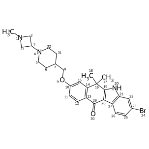 CN1CC(N2CCC(COc3ccc4c(c3)C(C)(C)c3[nH]c5cc(Br)ccc5c3C4=O)CC2)C1